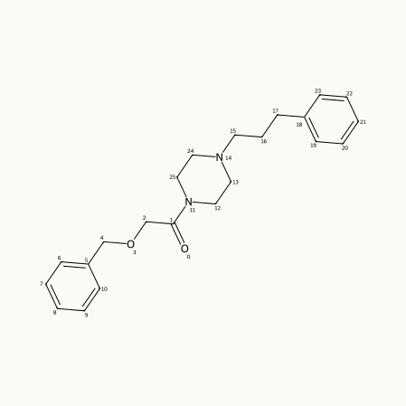 O=C(COCc1ccccc1)N1CCN(CCCc2ccccc2)CC1